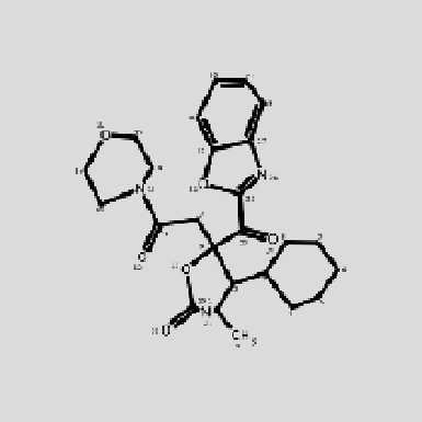 CCC(C1CCCCC1)C(CC(=O)N1CCOCC1)(OC(N)=O)C(=O)c1nc2ccccc2o1